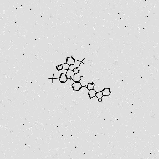 CC(C)(C)c1ccc2c(c1)C1(c3ccccc3-c3ccccc31)c1cc(C(C)(C)C)ccc1N2c1cccc(-n2cnc3c4c(ccc32)oc2ccccc24)c1Cl